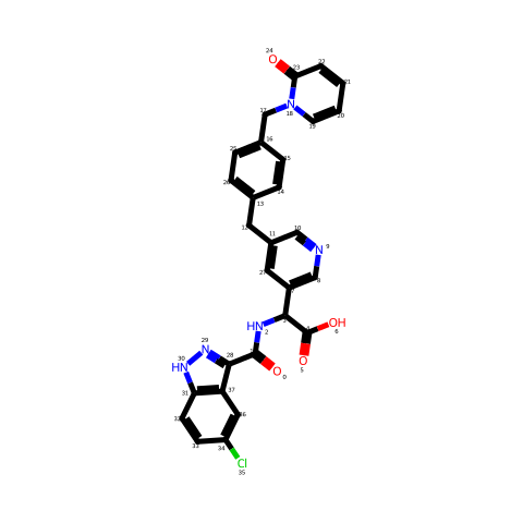 O=C(NC(C(=O)O)c1cncc(Cc2ccc(Cn3ccccc3=O)cc2)c1)c1n[nH]c2ccc(Cl)cc12